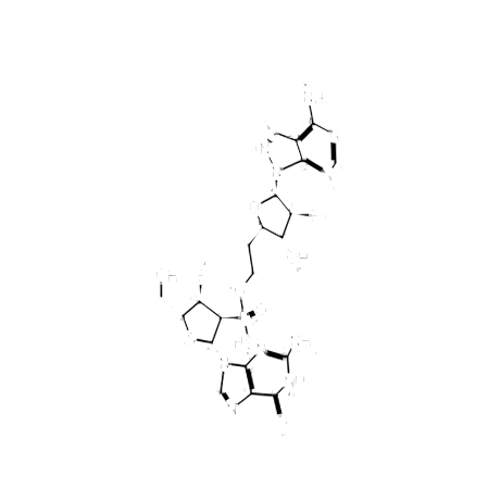 Nc1nc2c(ncn2[C@@H]2S[C@H](CO)[C@@H](F)[C@H]2P(=O)(S)OCC[C@H]2O[C@@H](n3nnc4c(N)ncnc43)[C@@H](F)[C@@H]2O)c(=O)[nH]1